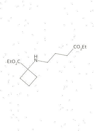 CCOC(=O)CCCNC1(C(=O)OCC)CCC1